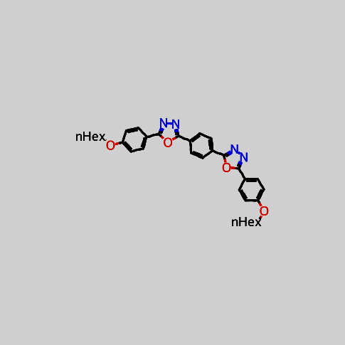 CCCCCCOc1ccc(-c2nnc(-c3ccc(-c4nnc(-c5ccc(OCCCCCC)cc5)o4)cc3)o2)cc1